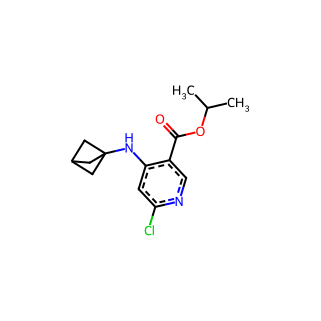 CC(C)OC(=O)c1cnc(Cl)cc1NC12CC(C1)C2